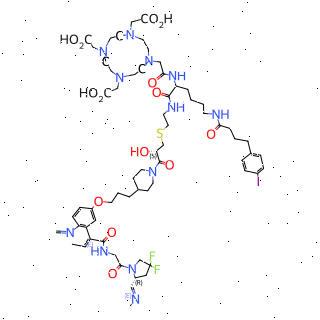 C=Nc1ccc(OCCCC2CCN(C(=O)[C@H](O)CSCCNC(=O)C(CCCCNC(=O)CCCc3ccc(I)cc3)NC(=O)CN3CCN(CC(=O)O)CCN(CC(=O)O)CCN(CC(=O)O)CC3)CC2)cc1/C(=C\C)C(=O)NCC(=O)N1CC(F)(F)C[C@@H]1/C=N/C